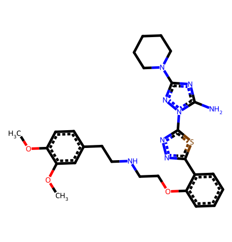 COc1ccc(CCNCCOc2ccccc2-c2nnc(-n3nc(N4CCCCC4)nc3N)s2)cc1OC